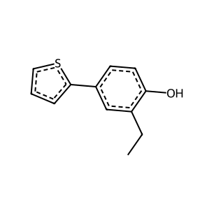 CCc1cc(-c2cccs2)ccc1O